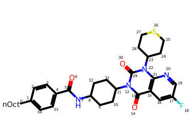 CCCCCCCCc1ccc(C(=O)NC2CCC(n3c(=O)c4cc(F)cnc4n(C4CCSCC4)c3=O)CC2)cc1